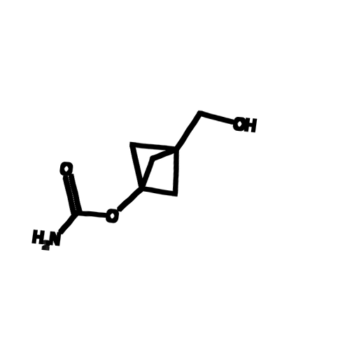 NC(=O)OC12CC(CO)(C1)C2